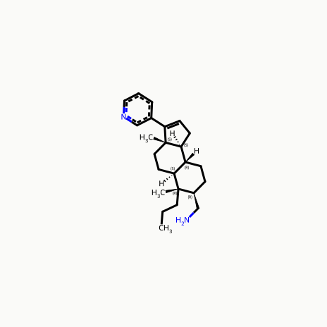 CCC[C@@]1(C)[C@H](CN)CC[C@@H]2[C@@H]1CC[C@]1(C)C(c3cccnc3)=CC[C@@H]21